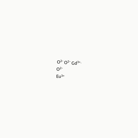 [Eu+3].[Gd+3].[O-2].[O-2].[O-2]